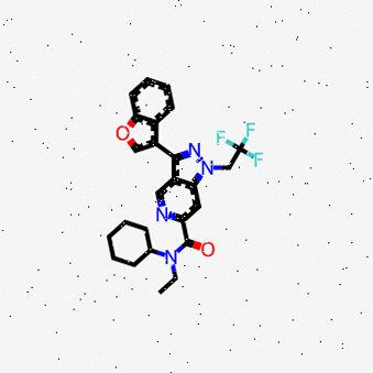 CCN(C(=O)c1cc2c(cn1)c(-c1coc3ccccc13)nn2CC(F)(F)F)C1CCCCC1